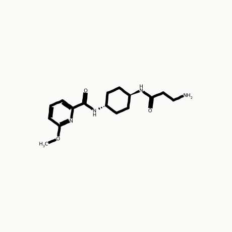 COc1cccc(C(=O)N[C@H]2CC[C@H](NC(=O)CCN)CC2)n1